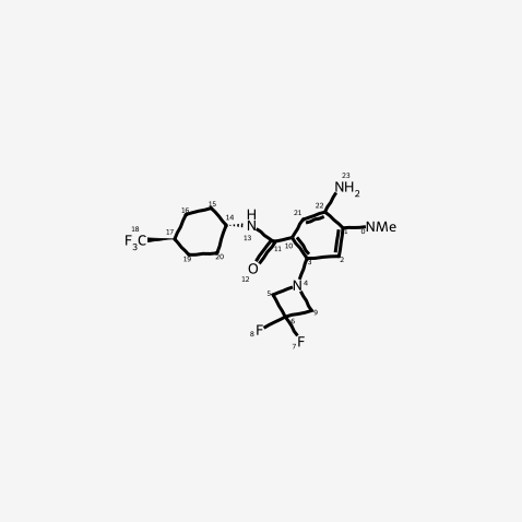 CNc1cc(N2CC(F)(F)C2)c(C(=O)N[C@H]2CC[C@H](C(F)(F)F)CC2)cc1N